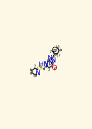 O=c1cc(CSc2ccccn2)[nH]c2nc(-c3ccccc3)nn12